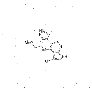 COCCNc1c(-c2cn[nH]c2)cnc2[nH]cc(Cl)c12